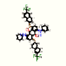 O=C1c2c(Nc3ccccc3)ccc(SC3CCc4cc(C(F)(F)F)ccc4C3)c2C(=O)c2c(Nc3ccccc3)ccc(Sc3ccc4cc(C(F)(F)F)ccc4c3)c21